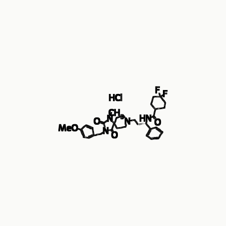 COc1ccc(CN2C(=O)N(C)C3(CCN(CC[C@H](NC(=O)C4CCC(F)(F)CC4)c4ccccc4)CC3)C2=O)cc1.Cl